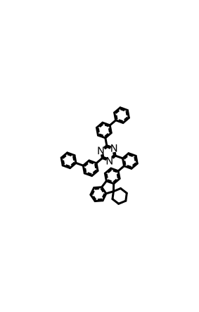 c1ccc(-c2cccc(-c3nc(-c4cccc(-c5ccccc5)c4)nc(-c4ccccc4-c4ccc5c(c4)C4(CCCCC4)c4ccccc4-5)n3)c2)cc1